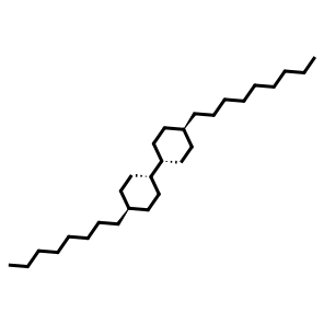 CCCCCCCCC[C@H]1CC[C@H]([C@H]2CC[C@H](CCCCCCCC)CC2)CC1